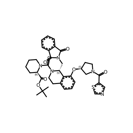 CC(C)(C)OC(=O)[C@H]1CCCCN1C(=O)N1CCc2cccc(O[C@H]3CCN(C(=O)c4cncs4)C3)c2[C@H]1CN1C(=O)c2ccccc2C1=O